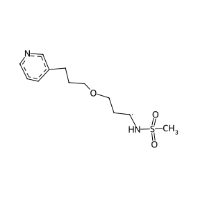 CS(=O)(=O)N[CH]CCOCCCc1cccnc1